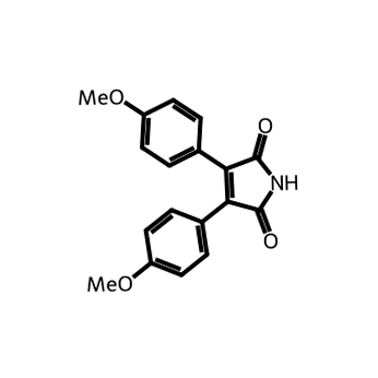 COc1ccc(C2=C(c3ccc(OC)cc3)C(=O)NC2=O)cc1